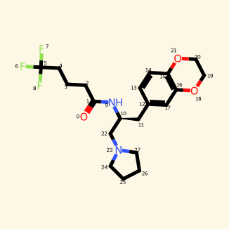 O=C(CCCC(F)(F)F)N[C@@H](Cc1ccc2c(c1)OCCO2)CN1CCCC1